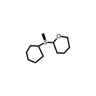 C=S(C1CCCCC1)C1CCCCO1